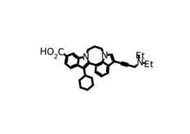 CCN(CC)CC#Cc1cn2c3c(cccc13)-c1c(C3CCCCC3)c3ccc(C(=O)O)cc3n1CCC2